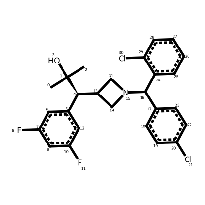 CC(C)(O)[C@H](c1cc(F)cc(F)c1)C1CN(C(c2ccc(Cl)cc2)c2ccccc2Cl)C1